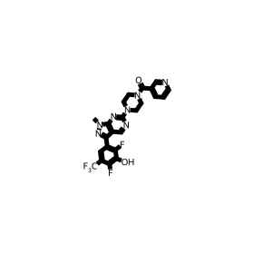 Cn1nc(-c2cc(C(F)(F)F)c(F)c(O)c2F)c2cnc(N3CCN(C(=O)c4cccnc4)CC3)nc21